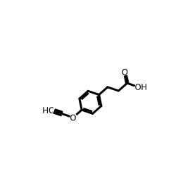 C#COc1ccc(CCC(=O)O)cc1